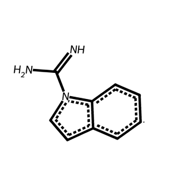 N=C(N)n1ccc2c[c]ccc21